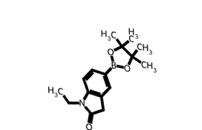 CCN1C(=O)Cc2cc(B3OC(C)(C)C(C)(C)O3)ccc21